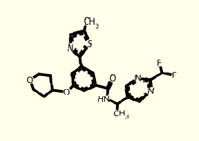 Cc1cnc(-c2cc(OC3CCOCC3)cc(C(=O)NC(C)c3cnc(C(F)F)nc3)c2)s1